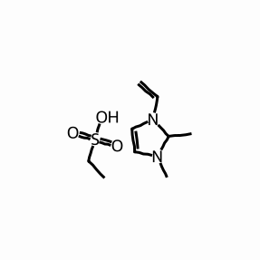 C=CN1C=CN(C)C1C.CCS(=O)(=O)O